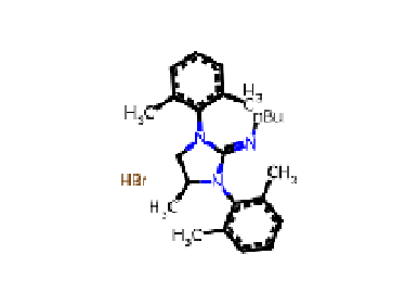 Br.CCCCN=C1N(c2c(C)cccc2C)CC(C)N1c1c(C)cccc1C